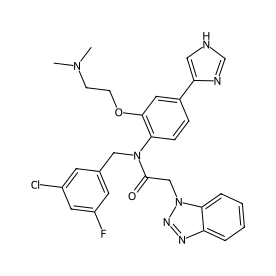 CN(C)CCOc1cc(-c2c[nH]cn2)ccc1N(Cc1cc(F)cc(Cl)c1)C(=O)Cn1nnc2ccccc21